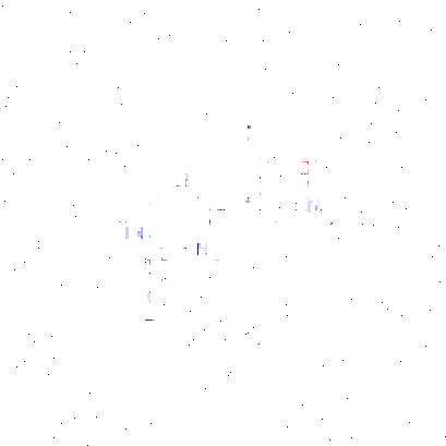 Cc1noc(C)c1-c1cc[nH]c(=O)n1